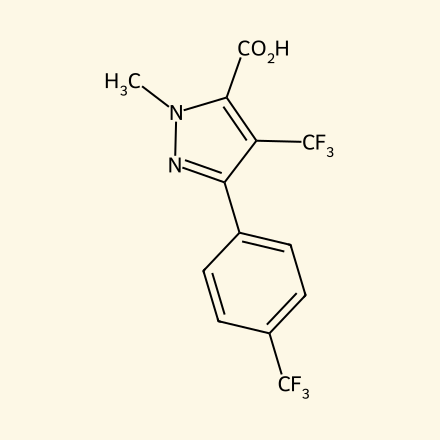 Cn1nc(-c2ccc(C(F)(F)F)cc2)c(C(F)(F)F)c1C(=O)O